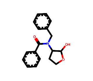 O=C(c1ccccc1)N(Cc1ccccc1)C1CCOC1O